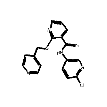 O=C(Nc1ccc(Cl)nc1)c1cccnc1SCc1ccncc1